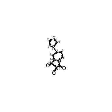 O=c1c(=O)c2ccc(-c3ccsc3)cc2c1=O